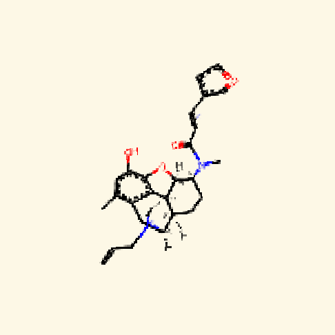 C=CCN1CC[C@]23c4c5c(C)cc(O)c4O[C@H]2[C@@H](N(C)C(=O)/C=C/c2ccoc2)CC[C@H]3[C@H]1C5